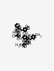 Cc1cc2c(cc1Cc1sc3ncccc3c1S(=O)(=O)Nc1onc(C)c1Cl)OCO2.Cc1ccc(Cc2sc3ncccc3c2S(=O)(=O)Nc2onc(C)c2Cl)c(C)c1